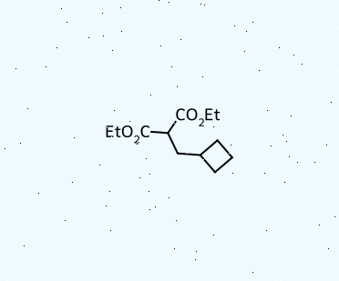 CCOC(=O)C(CC1CCC1)C(=O)OCC